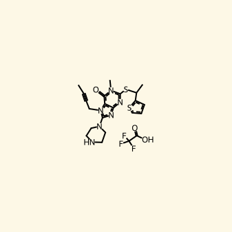 CC#CCn1c(N2CCNCC2)nc2nc(SC(C)c3cccs3)n(C)c(=O)c21.O=C(O)C(F)(F)F